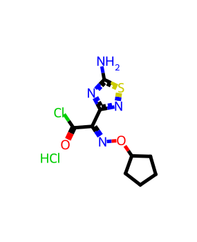 Cl.Nc1nc(/C(=N\OC2CCCC2)C(=O)Cl)ns1